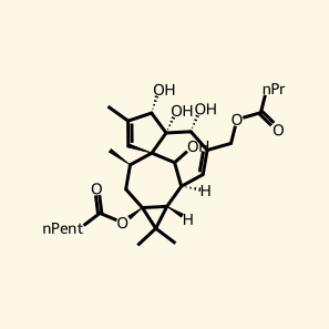 CCCCCC(=O)O[C@@]12C[C@@H](C)[C@]34C=C(C)[C@H](O)[C@@]3(O)[C@H](O)C(COC(=O)CCC)=C[C@H](C4O)[C@@H]1C2(C)C